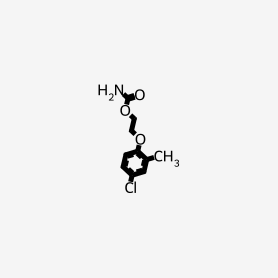 Cc1cc(Cl)ccc1OCCOC(N)=O